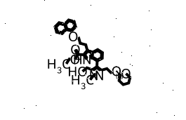 CCOC(=O)c1[nH]c2c(-c3c(CCO[C@@H]4CCCCO4)nn(C)c3CO)cccc2c1CCCOc1cccc2ccccc12